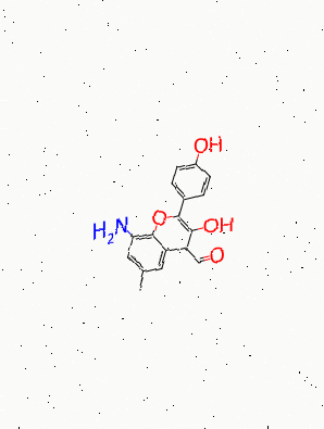 Cc1cc(N)c2c(c1)C(C=O)C(O)=C(c1ccc(O)cc1)O2